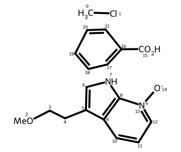 CCl.COCCc1c[nH]c2c1ccc[n+]2[O-].O=C(O)c1ccccc1